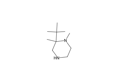 CN1CCNCC1(C)C(C)(C)C